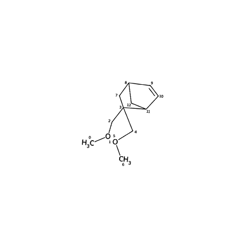 COCC1(COC)CC2C=CC1C2